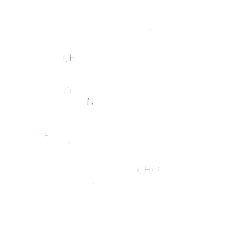 O=[C]c1ccc(F)c(N(OC(F)(F)F)c2ccccc2)c1